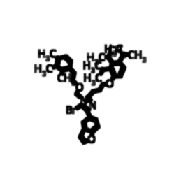 Cc1ccc(CCOCn2c(CCCOc3ccc(C(C)C)c(C(C)C)c3C(C)C)nc(-c3ccc4occc4c3)c2Br)c(C)c1C